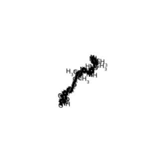 CC1=C(C(=O)Nc2ccc3[nH]nc(-c4ccnc(N5C[C@@H](C)N(CCOCCOCCN6CCN(c7ccc8c(c7)C(=O)N(C7CCC(=O)NC7=O)C8=O)CC6)[C@@H](C)C5)c4)c3c2)Cn2nnnc2N1C